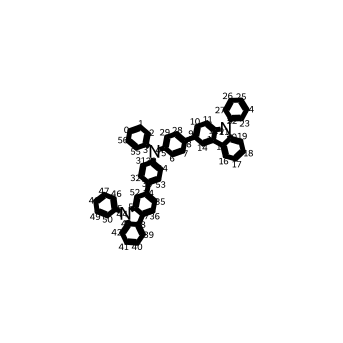 c1ccc(N(c2ccc(-c3ccc4c(c3)c3ccccc3n4-c3ccccc3)cc2)c2ccc(-c3ccc4c5ccccc5n(-c5ccccc5)c4c3)cc2)cc1